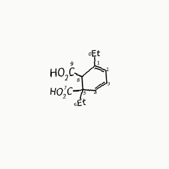 CCC1=CC=CC(CC)(C(=O)O)C1C(=O)O